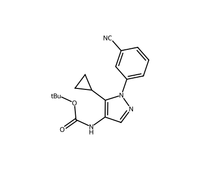 CC(C)(C)OC(=O)Nc1cnn(-c2cccc(C#N)c2)c1C1CC1